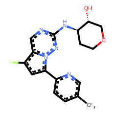 O[C@@H]1COCC[C@H]1Nc1ncc2c(F)cc(-c3ccc(C(F)(F)F)cn3)n2n1